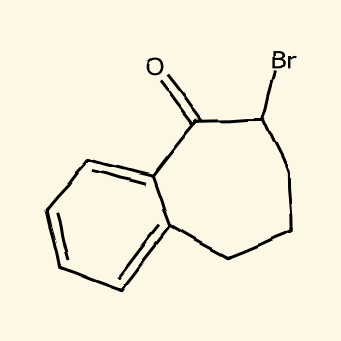 O=C1c2ccccc2CCCC1Br